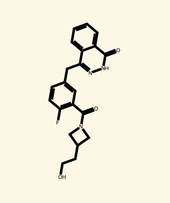 O=C(c1cc(Cc2n[nH]c(=O)c3ccccc23)ccc1F)N1CC(CCO)C1